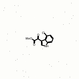 COC(=O)C(=O)c1c[nH]c2cccc(Cl)c12